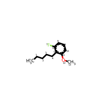 C[CH]CCCc1c(F)cccc1OC